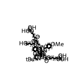 COc1ccc(-c2nc(OCC(COC(=O)CCCON(O)O)OC(=O)CCCO)c(Oc3ccccc3OC)c(N(COC(=O)OCCCCON(O)O)S(=O)(=O)c3ccc(C(C)(C)C)cn3)n2)cc1